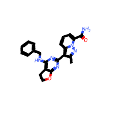 Cc1nn2c(C(N)=O)cccc2c1-c1nc(NCc2ccccc2)c2c(n1)OCC2